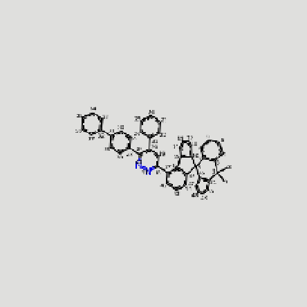 CC1(C)c2ccccc2C2(c3ccccc3-c3c(-c4cc(-c5ccccc5)c(-c5ccc(-c6ccccc6)cc5)nn4)cccc32)c2ccccc21